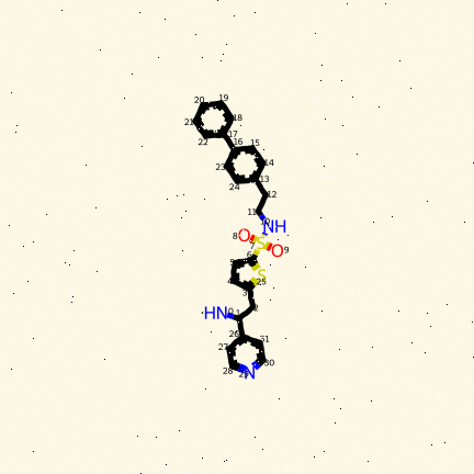 [NH]C(Cc1ccc(S(=O)(=O)NCCc2ccc(-c3ccccc3)cc2)s1)c1ccncc1